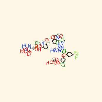 CC1COc2ccccc2N1C(=O)C(Cl)Cl.CCNc1nc(Cl)nc(NC(C)C)n1.CCc1cccc(C)c1N(C(=O)CCl)C(C)COC.CP(=O)(O)CCC(N)C(=O)O.C[C@H](OC(=O)c1cc(Oc2ccc(C(F)(F)F)cc2Cl)ccc1Cl)C(=O)O